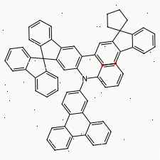 c1ccc(N(c2ccc3c4ccccc4c4ccccc4c3c2)c2cc3c(cc2-c2ccc4c(c2)C2(CCCC2)c2ccccc2-4)-c2ccccc2C32c3ccccc3-c3ccccc32)cc1